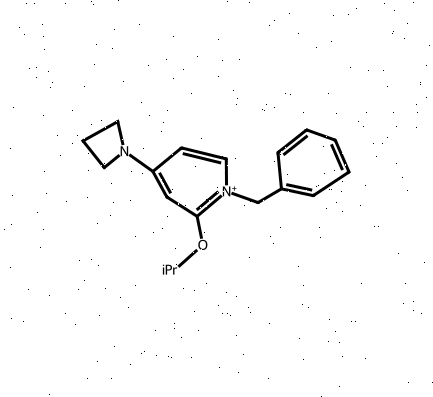 CC(C)Oc1cc(N2CCC2)cc[n+]1Cc1ccccc1